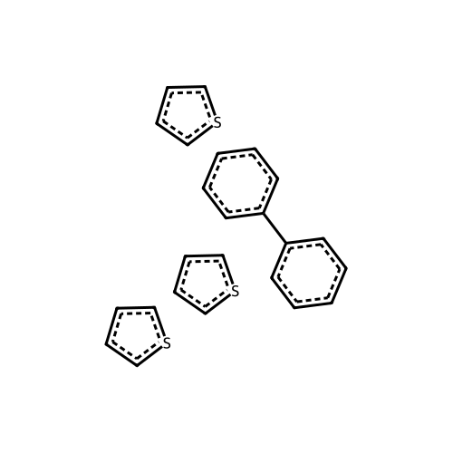 c1ccc(-c2ccccc2)cc1.c1ccsc1.c1ccsc1.c1ccsc1